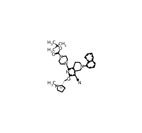 CN1CCC[C@H]1COc1nc(N2CCN(C(=O)OC(C)(C)C)CC2)c2c(c1C#N)CN(c1cccc3ccccc13)CC2